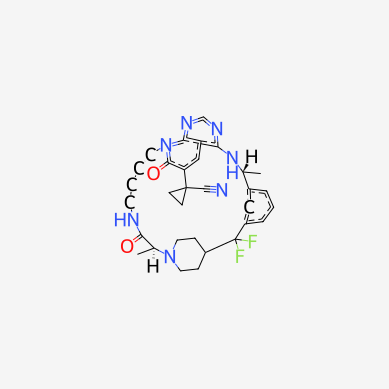 C[C@H]1Nc2ncnc3c2cc(C2(C#N)CC2)c(=O)n3CCCCNC(=O)[C@H](C)N2CCC(CC2)C(F)(F)c2cccc1c2